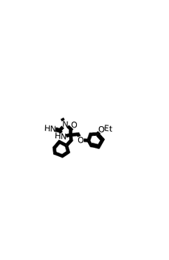 CCOC1=CC=CC(OCC2(CC3CCCCC3)NC(=N)N(C)C2=O)C1